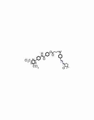 CN(CCCC(=O)Oc1ccc(C(=O)Nc2ccc(-c3nc(C(Cl)(Cl)Cl)nc(C(Cl)(Cl)Cl)n3)cc2)cc1)c1ccc(/C=C/C=C2\CCC(C)(C)C2=O)cc1